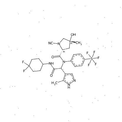 Cc1[nH]ncc1C(C(=O)NC1CCC(F)(F)CC1)N(C(=O)[C@H]1C[C@@](C)(O)CN1C#N)c1ccc(S(F)(F)(F)(F)F)cc1